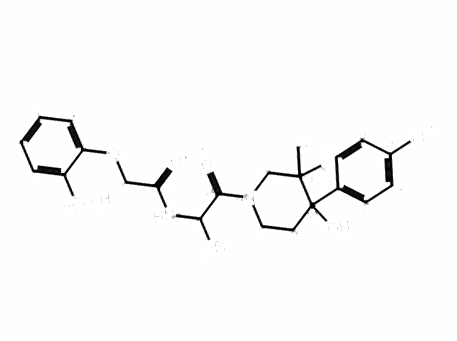 CC(C)C(NC(=O)COc1ccccc1C(=O)O)C(=O)N1CCC(O)(c2ccc(Cl)cc2)C(C)(C)C1